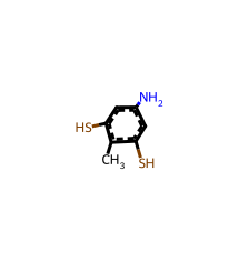 Cc1c(S)cc(N)cc1S